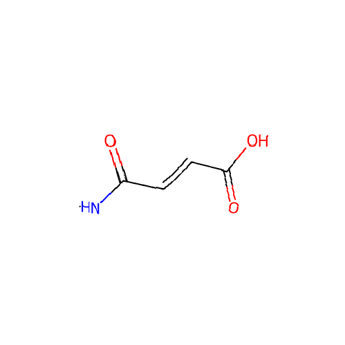 [NH]C(=O)C=CC(=O)O